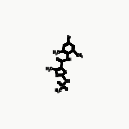 Cc1cc(Br)cc(C)c1NC(=O)c1sc(NS(C)(=O)=O)nc1C